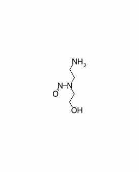 NCCN(CCO)N=O